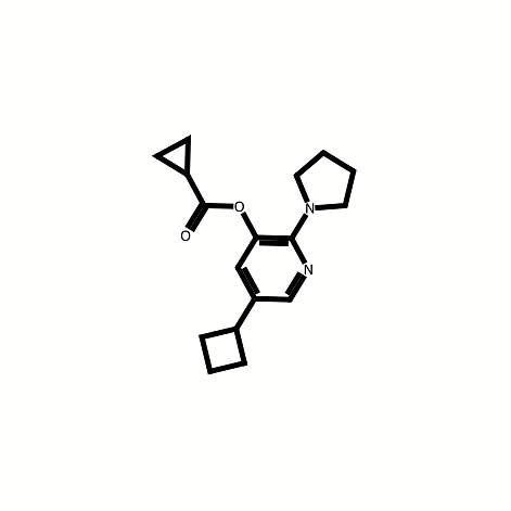 O=C(Oc1cc(C2CCC2)cnc1N1CCCC1)C1CC1